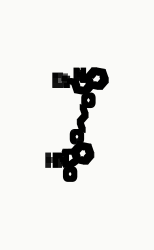 CCc1cc(OCCCCOc2cccc3c2CNC3=O)c2ccccc2n1